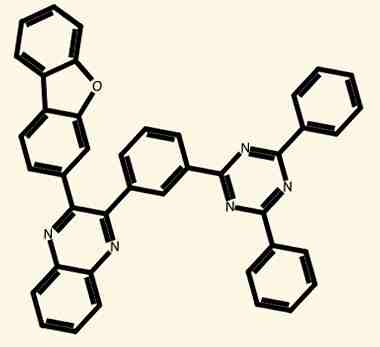 c1ccc(-c2nc(-c3ccccc3)nc(-c3cccc(-c4nc5ccccc5nc4-c4ccc5c(c4)oc4ccccc45)c3)n2)cc1